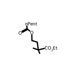 CCCCCC(=O)OCCC(C)(C)C(=O)OCC